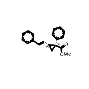 COC(=O)[C@@]1(c2ccccc2)C[C@@H]1C=Cc1ccccc1